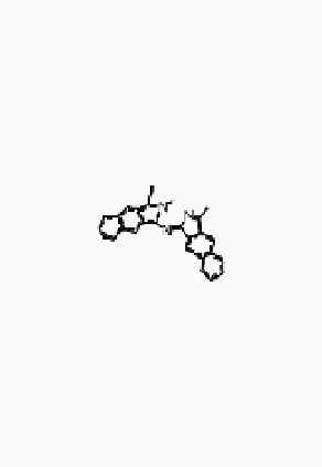 CC1=N/C(=N\c2c3cc4ccccc4cc3c(C)n2C)c2cc3ccccc3cc21